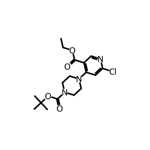 CCOC(=O)c1cnc(Cl)cc1N1CCN(C(=O)OC(C)(C)C)CC1